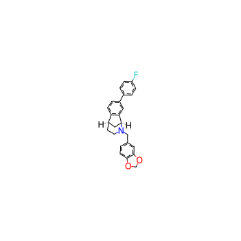 Fc1ccc(-c2ccc3c(c2)[C@@H]2C[C@H]3CCN2Cc2ccc3c(c2)OCO3)cc1